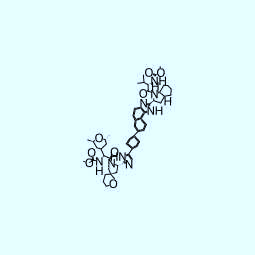 COC(=O)N[C@H](C(=O)N1[C@H](c2nc3ccc4cc(-c5ccc(-c6cnc([C@@H]7C[C@@]8(CCCOC8)CN7C(=O)[C@H](NC(=O)OC)C7C[C@@H](C)O[C@H](C)C7)[nH]6)cc5)ccc4c3[nH]2)C[C@@H]2CCCC[C@@H]21)C(C)C